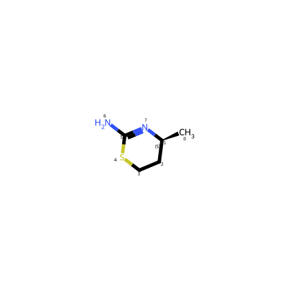 C[C@H]1CCSC(N)=N1